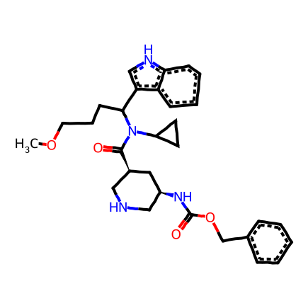 COCCCC(c1c[nH]c2ccccc12)N(C(=O)[C@@H]1CNC[C@H](NC(=O)OCc2ccccc2)C1)C1CC1